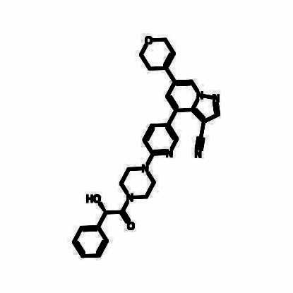 N#Cc1cnn2cc(C3=CCOCC3)cc(-c3ccc(N4CCN(C(=O)[C@H](O)c5ccccc5)CC4)nc3)c12